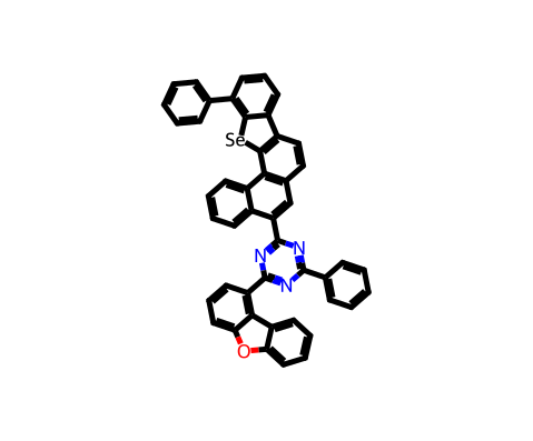 c1ccc(-c2nc(-c3cc4ccc5c6cccc(-c7ccccc7)c6[se]c5c4c4ccccc34)nc(-c3cccc4oc5ccccc5c34)n2)cc1